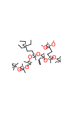 C=C[Si](C)(O[Si](C)(CC[Si](C)(OC)OC)O[Si](C)(C)C)O[Si](C)(CC[Si](CC)(CC)CC)O[Si](C)(C)O[Si](C)(C)O[Si](C)(C)C